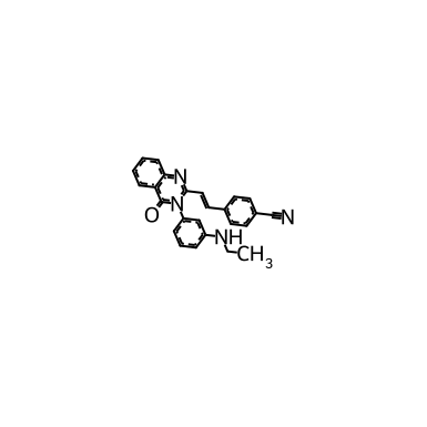 CCNc1cccc(-n2c(/C=C/c3ccc(C#N)cc3)nc3ccccc3c2=O)c1